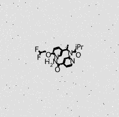 CC(C)C(=O)N(c1cc(C(N)=O)ccn1)C(C)c1ccc(OCC(F)F)nc1